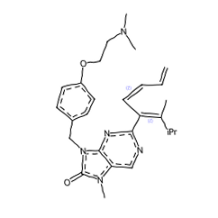 C=C/C=C\C(=C(/C)C(C)C)c1ncc2c(n1)n(Cc1ccc(OCCN(C)C)cc1)c(=O)n2C